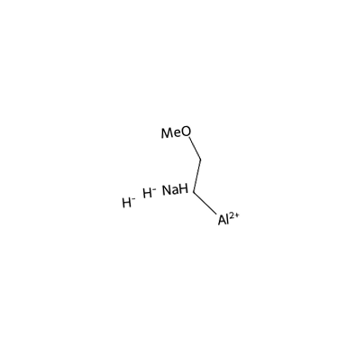 COC[CH2][Al+2].[H-].[H-].[NaH]